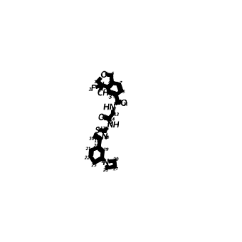 CC1(F)COCc2ccc(C(=O)NCC(=O)Nc3nc(-c4cccc(N5CCC5)c4)cs3)cc21